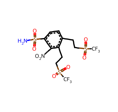 NS(=O)(=O)c1ccc(CCS(=O)(=O)C(F)(F)F)c(CCS(=O)(=O)C(F)(F)F)c1[N+](=O)[O-]